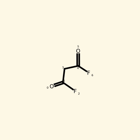 O=C(F)CC(=O)F